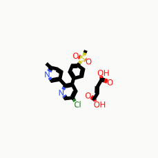 Cc1ccc(-c2ncc(Cl)cc2-c2ccc(S(C)(=O)=O)cc2)cn1.O=C(O)C=CC(=O)O